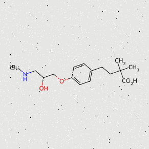 CC(C)(C)NCC(O)COc1ccc(CCC(C)(C)C(=O)O)cc1